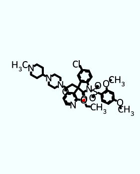 CCOc1ncccc1C1(CC(=O)N2CCN(C3CCN(C)CC3)CC2)C(=O)N(S(=O)(=O)c2ccc(OC)cc2OC)c2ccc(Cl)cc21